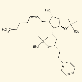 CC(C)(C)[Si](C)(C)O[C@@H](CCc1ccccc1)CC[C@@H]1[C@@H](C/C=C\CCCC(=O)O)[C@H](O)C[C@H]1O[Si](C)(C)C(C)(C)C